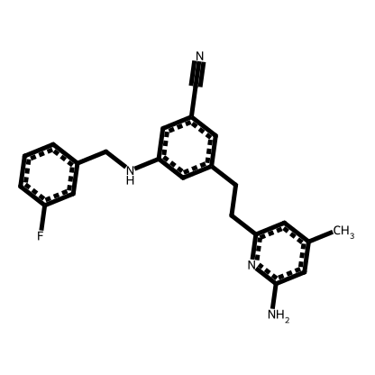 Cc1cc(N)nc(CCc2cc(C#N)cc(NCc3cccc(F)c3)c2)c1